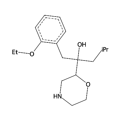 CCOc1ccccc1CC(O)(CC(C)C)C1CNCCO1